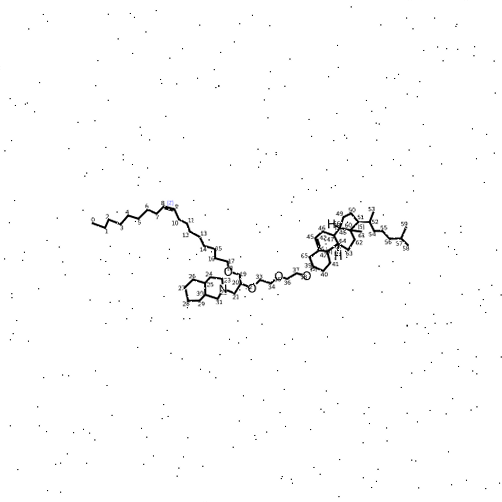 CCCCCCCC/C=C\CCCCCCCCOCC(CN1CCC2CCCCC2C1)OCCOCCO[C@H]1CC[C@@]2(C)C(=CCC3[C@@H]4CC[C@@H](C(C)CCCC(C)C)C4(C)CC[C@@H]32)C1